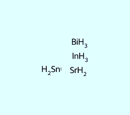 [BiH3].[InH3].[SnH2].[SrH2]